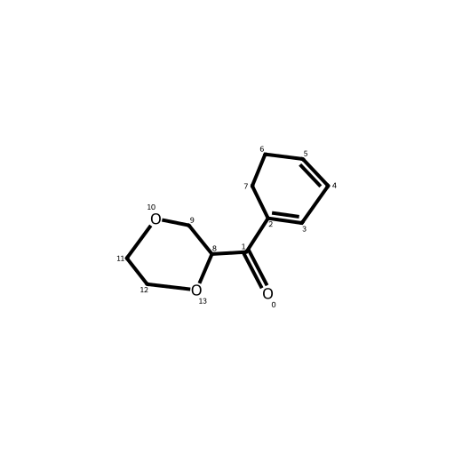 O=C(C1=CC=CCC1)C1COCCO1